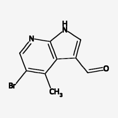 Cc1c(Br)cnc2[nH]cc(C=O)c12